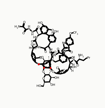 CC(C)C[C@@H](N)C(=O)N[C@H]1C(=O)N[C@@H](CC(N)=O)C(=O)N[C@H]2C(=O)N[C@H]3C(=O)N[C@H](C(=O)N[C@@H](C(=O)NNC(=O)C(N)=O)c4cc(O)cc(O)c4-c4cc3ccc4O)[C@H](O)c3ccc(c(Cl)c3)Oc3cc2cc(c3O[C@@H]2O[C@H](CO)[C@@H](O)[C@H](O)[C@H]2O[C@H]2C[C@](C)(NCc3cccc(NC(=O)c4ccc(OC(F)(F)F)cc4)c3)[C@H](O)[C@H](C)O2)Oc2ccc(cc2Cl)[C@H]1O